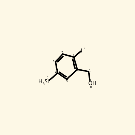 OCc1cc([SiH3])ccc1I